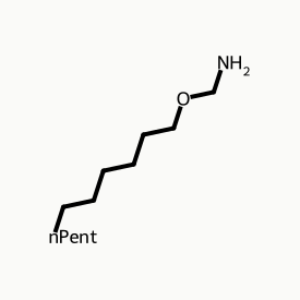 CCCCCCCCCCCOCN